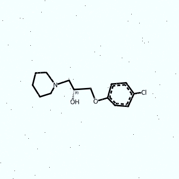 O[C@@H](COc1ccc(Cl)cc1)CN1CCCCC1